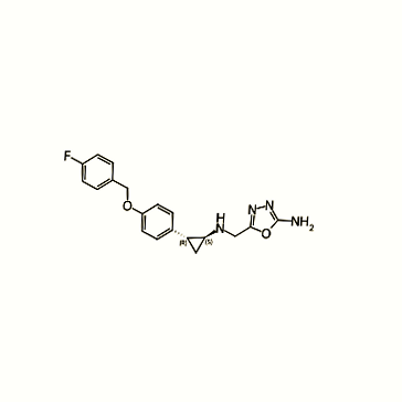 Nc1nnc(CN[C@H]2C[C@@H]2c2ccc(OCc3ccc(F)cc3)cc2)o1